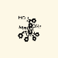 COc1cc(C=C(C(=O)O)c2ccccc2)cc(OC)c1O[C@H]1O[C@H](COCc2ccccc2)[C@@H](OCc2ccccc2)[C@H](OCc2ccccc2)[C@@H]1OCc1ccccc1